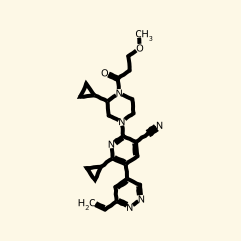 C=Cc1cc(-c2cc(C#N)c(N3CCN(C(=O)CCOC)C(C4CC4)C3)nc2C2CC2)cnn1